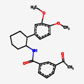 COc1ccc(C2CCCCC2NC(=O)c2cccc(C(C)=O)c2)cc1OC